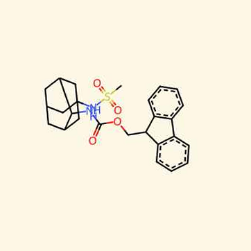 CS(=O)(=O)NC12CC3CC(C1)C(NC(=O)OCC1c4ccccc4-c4ccccc41)C(C3)C2